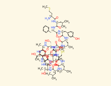 CSCC[C@H](N)C(=O)N[C@@H](CC(C)C)C(=O)N[C@@H](Cc1ccccc1)C(=O)N[C@@H](Cc1ccc(O)cc1)C(=O)N[C@@H](CC(C)C)C(=O)N[C@@H](C)C(=O)N[C@@H](CC(C)C)C(=O)N[C@@H](CS)C(=O)N[C@@H](CC(C)C)C(=O)N[C@@H](CC(C)C)C(=O)N[C@H](C(=O)N[C@@H](Cc1ccccc1)C(=O)N[C@H](C(=O)N[C@@H](CO)C(=O)N[C@@H](CO)C(=O)N[C@@H](C)C(=O)N[C@H](C(=O)N[C@@H](C)C(=O)O)[C@@H](C)O)[C@@H](C)O)[C@@H](C)O